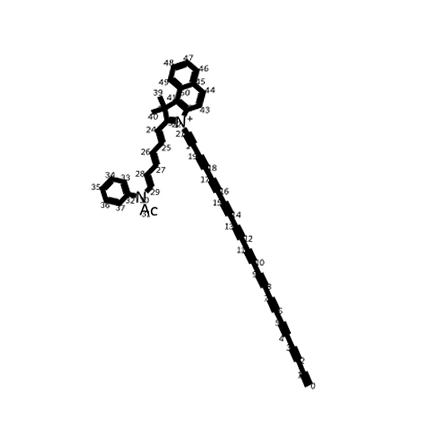 C#CC#CC#CC#CC#CC#CC#CC#CC#CC#CC#C[N+]1=C(/C=C/C=C/C=C/N(C(C)=O)c2ccccc2)C(C)(C)c2c1ccc1ccccc21